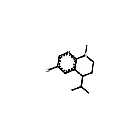 CC(C)C1CCN(C)c2ncc(Cl)cc21